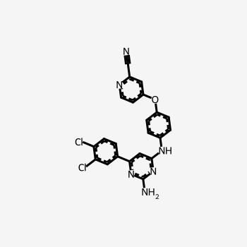 N#Cc1cc(Oc2ccc(Nc3cc(-c4ccc(Cl)c(Cl)c4)nc(N)n3)cc2)ccn1